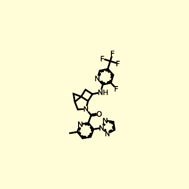 Cc1ccc(-n2nccn2)c(C(=O)N2CC3CC34CC(Nc3ncc(C(F)(F)F)cc3F)C24)n1